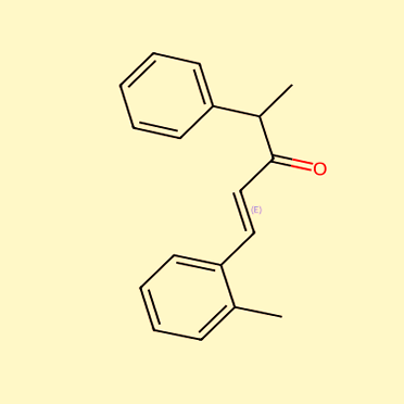 Cc1ccccc1/C=C/C(=O)C(C)c1ccccc1